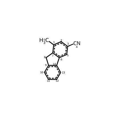 Cc1cc(C#N)cc2c1Cc1ccccc1-2